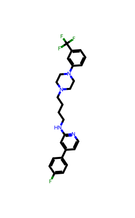 Fc1ccc(-c2ccnc(NCCCCN3CCN(c4cccc(C(F)(F)F)c4)CC3)c2)cc1